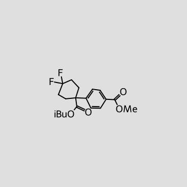 COC(=O)c1ccc(C2(C(=O)OCC(C)C)CCC(F)(F)CC2)cc1